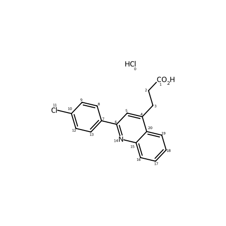 Cl.O=C(O)CCc1cc(-c2ccc(Cl)cc2)nc2ccccc12